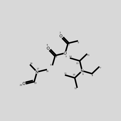 CC(=O)OC(C)=O.CCN(C(C)C)C(C)C.CN(C)C=O